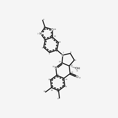 Cc1nc2ccc(N3CC[C@@]4(O)C(=O)c5cc(C)c(C)cc5N=C34)cc2o1